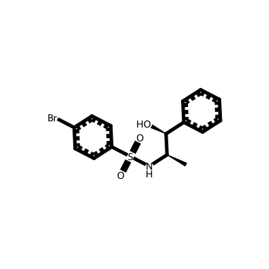 C[C@@H](NS(=O)(=O)c1ccc(Br)cc1)[C@@H](O)c1ccccc1